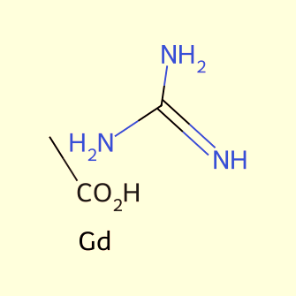 CC(=O)O.N=C(N)N.[Gd]